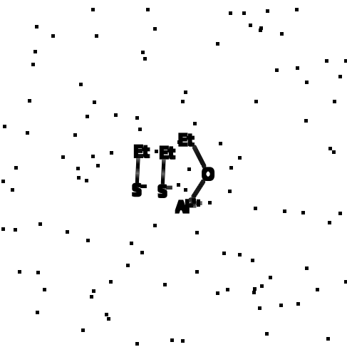 CC[O][Al+2].CC[S-].CC[S-]